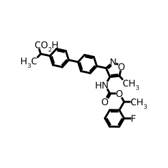 Cc1onc(-c2ccc(-c3ccc(C(C)C(=O)O)cc3)cc2)c1NC(=O)OC(C)c1ccccc1F